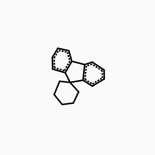 [c]1cccc2c1C1(CCCCC1)c1ccccc1-2